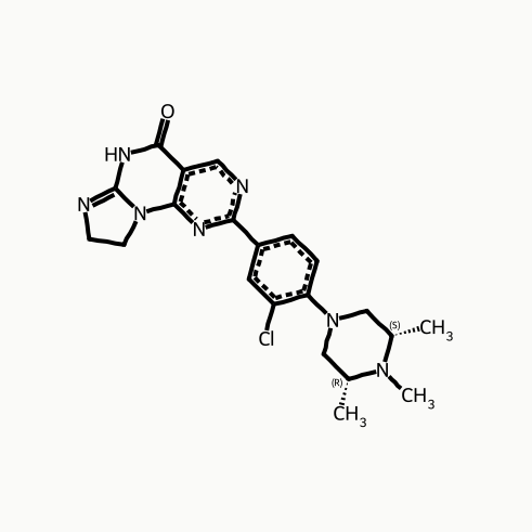 C[C@@H]1CN(c2ccc(-c3ncc4c(n3)N3CCN=C3NC4=O)cc2Cl)C[C@H](C)N1C